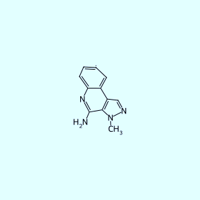 Cn1ncc2c3c[c]ccc3nc(N)c21